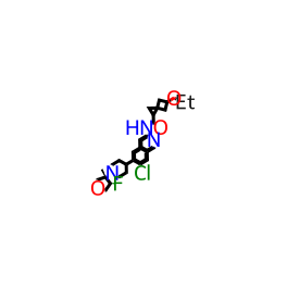 CCOC1CC2(C1)CC2C(=O)Nc1cc2cc(C3CCN([C@@]4(C)COC[C@H]4F)CC3)c(Cl)cc2cn1